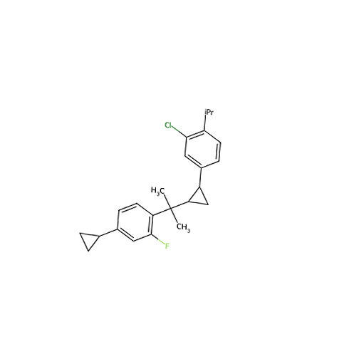 CC(C)c1ccc(C2CC2C(C)(C)c2ccc(C3CC3)cc2F)cc1Cl